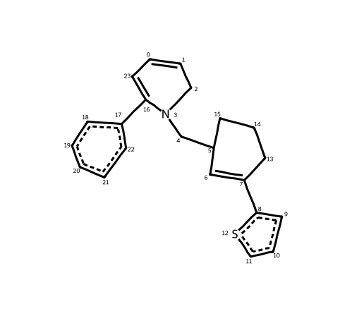 C1=CCN(CC2C=C(c3cccs3)CCC2)C(c2ccccc2)=C1